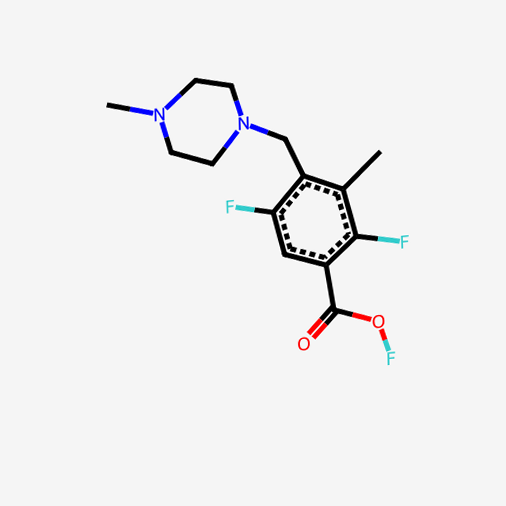 Cc1c(F)c(C(=O)OF)cc(F)c1CN1CCN(C)CC1